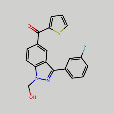 O=C(c1ccc2c(c1)c(-c1cccc(F)c1)nn2CO)c1cccs1